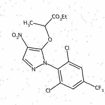 CCOC(=O)C(C)Oc1c([N+](=O)[O-])cnn1-c1c(Cl)cc(C(F)(F)F)cc1Cl